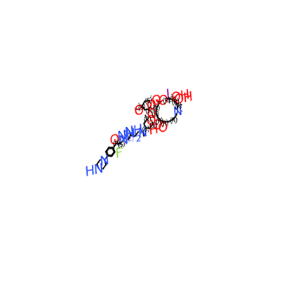 CN/C(=C\N(N)[C@H](CF)[C@H](OC)c1ccc(N2CCNCC2)cc1)CCN(C)[C@@H]1C[C@H](O[C@@H]2C[C@H](O[C@H]3C[C@@](C)(OC)C[C@H](C)O3)[C@@H](C)C(=O)O[C@H](I)[C@@](C)(O)[C@H](O)[C@@H](C)N(C)C[C@H](C)C[C@H]2O)O[C@H](C)C1